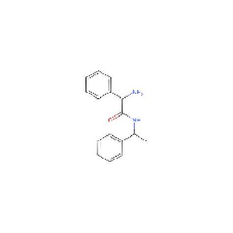 CC(NC(=O)C(N)c1ccccc1)c1ccccc1